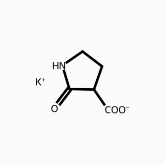 O=C([O-])C1CCNC1=O.[K+]